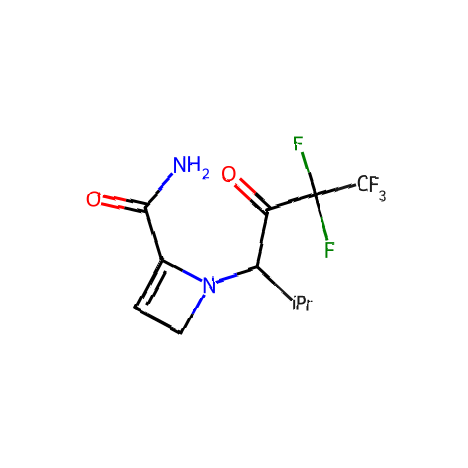 CC(C)C(C(=O)C(F)(F)C(F)(F)F)N1CC=C1C(N)=O